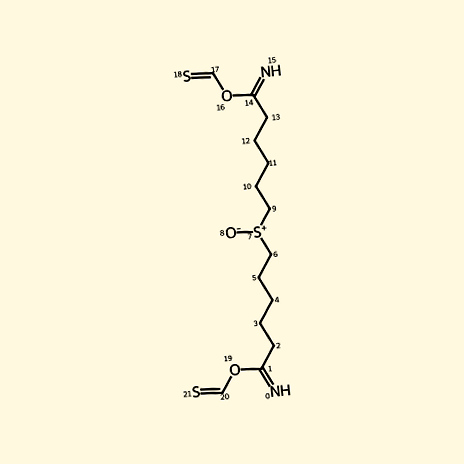 N=C(CCCCC[S+]([O-])CCCCCC(=N)OC=S)OC=S